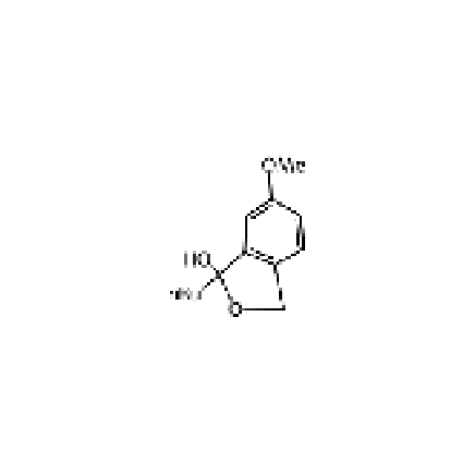 CCCCC1(O)OCc2ccc(OC)cc21